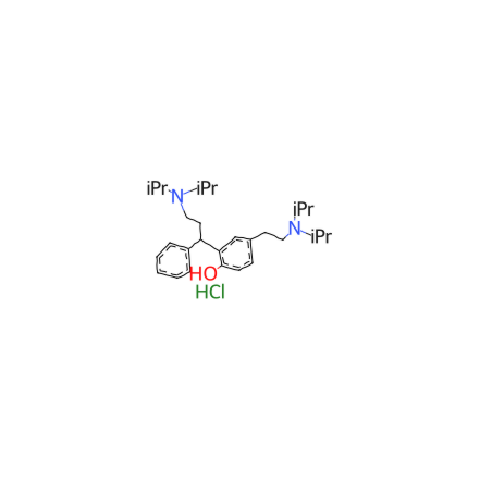 CC(C)N(CCc1ccc(O)c(C(CCN(C(C)C)C(C)C)c2ccccc2)c1)C(C)C.Cl